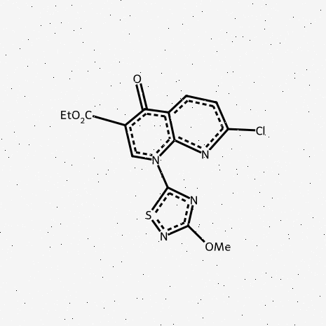 CCOC(=O)c1cn(-c2nc(OC)ns2)c2nc(Cl)ccc2c1=O